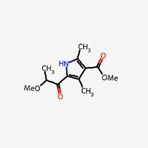 COC(=O)c1c(C)[nH]c(C(=O)C(C)OC)c1C